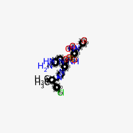 CC1(C)CCC(CN2CCN(c3ccc(C(=O)NS(=O)(=O)c4ccc(NCC5CCOCC5)c([N+](=O)[O-])c4)c(N4CCCC5=CNC(N)=CC=C54)c3)CC2)=C(c2ccc(Cl)cc2)C1